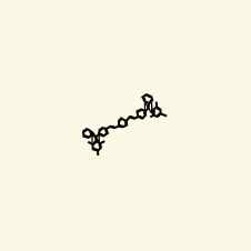 Cc1cc(C)c(N(c2ccccc2)c2ccc(/C=C/c3ccc(/C=C/c4ccc(N(c5ccccc5)c5c(C)cc(C)cc5C)cc4)cc3)cc2)c(C)c1